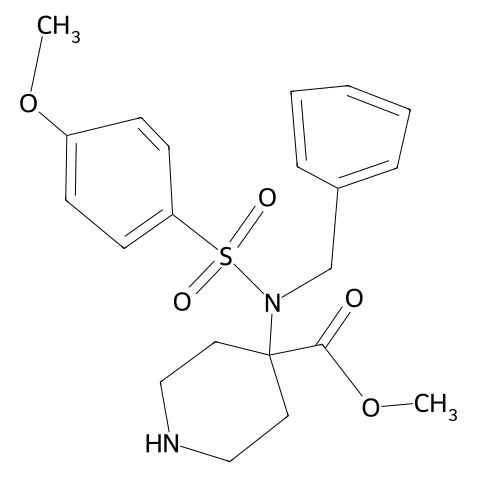 COC(=O)C1(N(Cc2ccccc2)S(=O)(=O)c2ccc(OC)cc2)CCNCC1